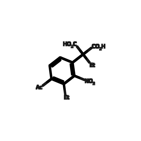 CCc1c(C(C)=O)ccc(C(CC)(C(=O)O)C(=O)O)c1[N+](=O)[O-]